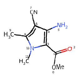 COC(=O)c1c(N)c(C#N)c(C)n1C